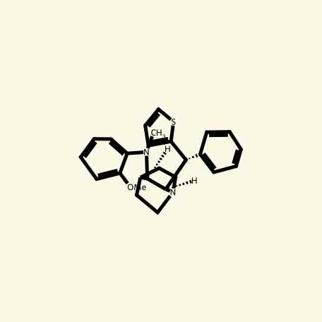 COc1ccccc1N(C)[C@@H]1C2CCN(CC2)[C@@H]1[C@@H](c1ccccc1)c1cccs1